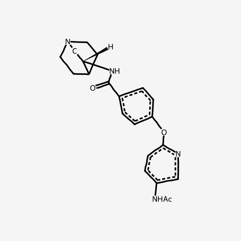 CC(=O)Nc1ccc(Oc2ccc(C(=O)N[C@H]3CN4CCC3CC4)cc2)nc1